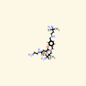 CCC(C)(N)CCNCc1ccc(CN(CC(C)(C)C(N)(CC)CC)C(=O)CCC(=O)NCCN)cc1